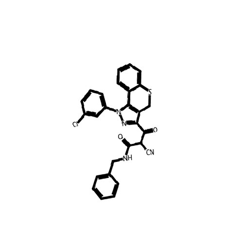 N#CC(C(=O)NCc1ccccc1)C(=O)c1nn(-c2cccc(Cl)c2)c2c1CSc1ccccc1-2